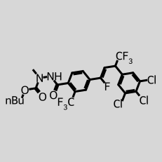 CCCCOC(=O)N(C)NC(=O)c1ccc(/C(F)=C/C(c2cc(Cl)c(Cl)c(Cl)c2)C(F)(F)F)cc1C(F)(F)F